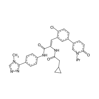 CC(C)n1cc(-c2ccc(Cl)c(C=C(NC(=O)CC3CC3)C(=O)Nc3ccc(-c4nncn4C)cc3)c2)ccc1=O